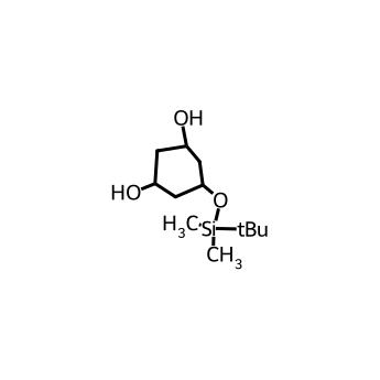 CC(C)(C)[Si](C)(C)OC1CC(O)CC(O)C1